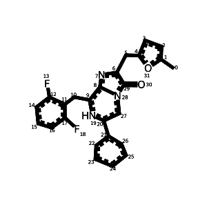 Cc1ccc(Cc2nc3c(Cc4c(F)cccc4F)[nH]c(-c4ccccc4)cn-3c2=O)o1